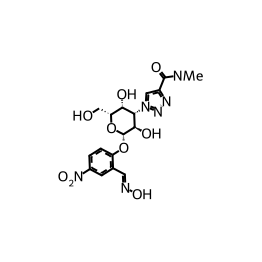 CNC(=O)c1cn([C@H]2[C@@H](O)[C@@H](CO)O[C@@H](Oc3ccc([N+](=O)[O-])cc3C=NO)[C@@H]2O)nn1